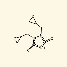 O=c1[nH]c(=O)n(CC2CO2)n1CC1CO1